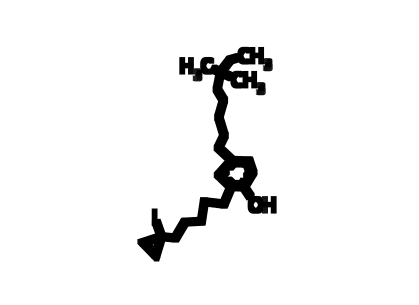 CCC(C)(C)CCCCCc1ccc(O)c(CCCCCC2(I)CC2)c1